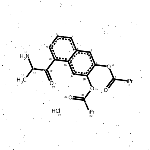 CC(C)C(=O)Oc1cc2cccc(C(=O)C(C)N)c2cc1OC(=O)C(C)C.Cl